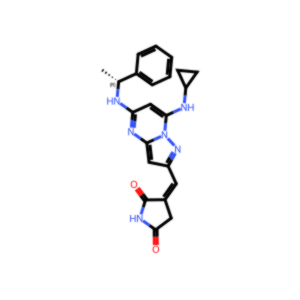 C[C@@H](Nc1cc(NC2CC2)n2nc(C=C3CC(=O)NC3=O)cc2n1)c1ccccc1